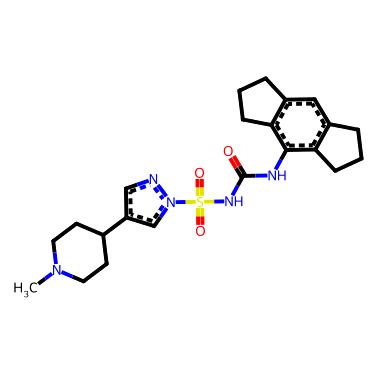 CN1CCC(c2cnn(S(=O)(=O)NC(=O)Nc3c4c(cc5c3CCC5)CCC4)c2)CC1